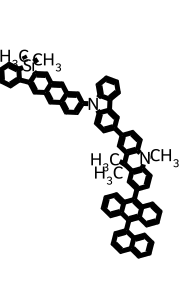 CN1c2ccc(-c3ccc4c(c3)c3ccccc3n4-c3ccc4cc5cc6c(cc5cc4c3)[Si](C)(C)c3ccccc3-6)cc2C(C)(C)c2cc(-c3c4ccccc4c(-c4cccc5ccccc45)c4ccccc34)ccc21